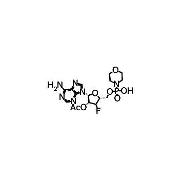 CC(=O)O[C@H]1C(F)[C@@H](COP(=O)(O)N2CCOCC2)O[C@H]1n1cnc2c(N)ncnc21